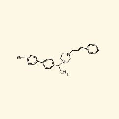 CC(c1ccc(-c2ccc(Br)cc2)cc1)N1CCN(CC=Cc2ccccc2)CC1